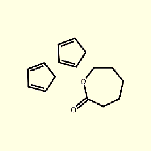 C1=CCC=C1.C1=CCC=C1.O=C1CCCCCO1